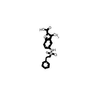 Cc1c(C(=O)O)oc2ccc(NS(=O)(=O)CCc3ccccc3)cc12